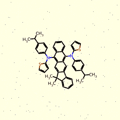 CC(C)c1ccc(N(c2cccs2)c2c3ccccc3c(N(c3ccc(C(C)C)cc3)c3cccs3)c3cc4c(cc23)-c2ccccc2C4(C)C)cc1